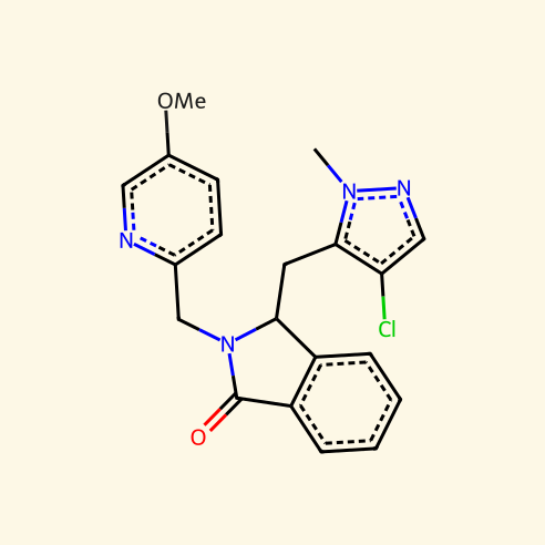 COc1ccc(CN2C(=O)c3ccccc3C2Cc2c(Cl)cnn2C)nc1